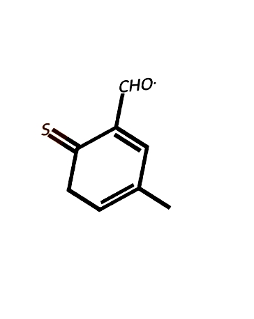 CC1=CCC(=S)C([C]=O)=C1